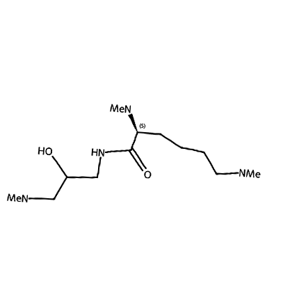 CNCCCC[C@H](NC)C(=O)NCC(O)CNC